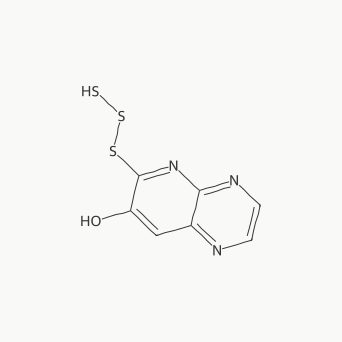 Oc1cc2nccnc2nc1SSS